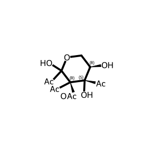 CC(=O)O[C@@]1(C(C)=O)C(O)(C(C)=O)OC[C@@H](O)[C@@]1(O)C(C)=O